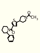 CC(=O)N1CCC(c2cc(C(=O)N3CCCCC3c3ccccc3)cs2)CC1